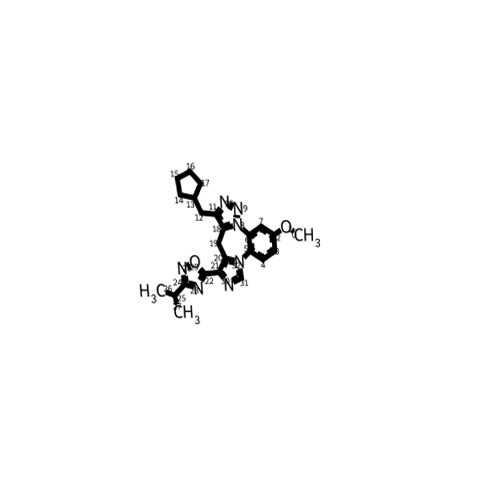 COc1ccc2c(c1)-n1nnc(CC3CCCC3)c1Cc1c(-c3nc(C(C)C)no3)ncn1-2